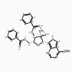 CSc1ncnc2c([C@@H]3O[C@H](COC(=O)c4ccccc4)[C@@H](OC(=O)c4ccccc4)[C@@]3(C)F)scc12